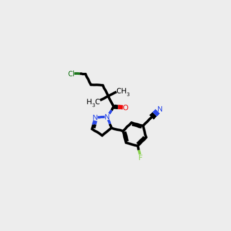 CC(C)(CCCCl)C(=O)N1N=CCC1c1cc(F)cc(C#N)c1